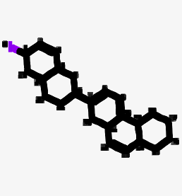 IC1C=CC2CC(C3=CC=C4C(C=CC5CCCCC45)C3)CCC2C1